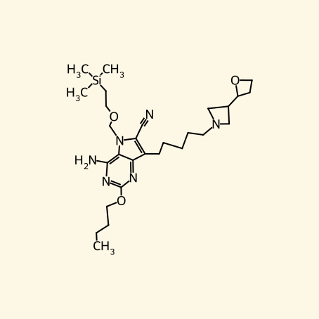 CCCCOc1nc(N)c2c(n1)c(CCCCCN1CC(C3CCO3)C1)c(C#N)n2COCC[Si](C)(C)C